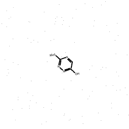 CSc1ncc(O)nn1